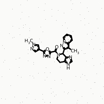 Cc1c(C2c3nc[nH]c3CCN2C(=O)c2nnc(-c3cnn(C)c3)o2)nn2ccccc12